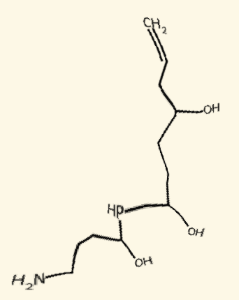 C=CCC(O)CCC(O)PC(O)CCN